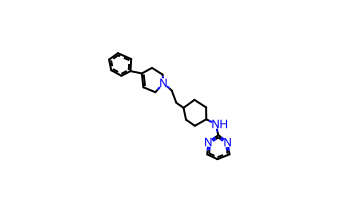 C1=C(c2ccccc2)CCN(CCC2CCC(Nc3ncccn3)CC2)C1